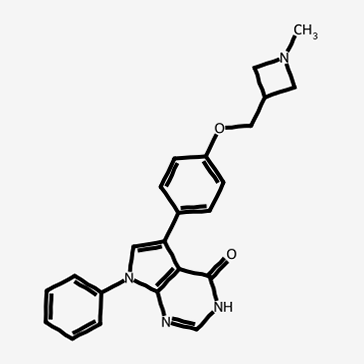 CN1CC(COc2ccc(-c3cn(-c4ccccc4)c4nc[nH]c(=O)c34)cc2)C1